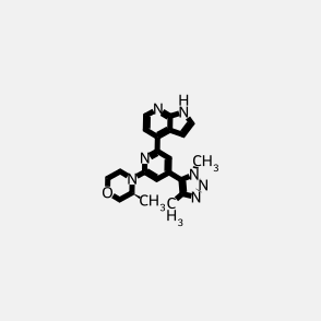 Cc1nnn(C)c1-c1cc(-c2ccnc3[nH]ccc23)nc(N2CCOC[C@H]2C)c1